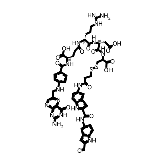 N=C(N)NCCC[C@@H](NC(=O)CC[C@@H](NC(=O)c1ccc(NCc2cnc3nc(N)[nH]c(=O)c3n2)cc1)C(=O)O)C(=O)N[C@H](CC(=O)O)C(=O)NC(CSSCCC(=O)Nc1ccc2[nH]c(C(=O)Nc3ccc4[nH]c(C=O)cc4c3)cc2c1)C(=O)O